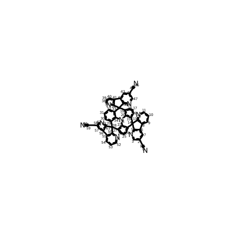 N#Cc1cnc2c(c1)-c1cccnc1C21c2cccc3c2N2c4c1cccc4C1(c4cccc(c42)C32c3ncccc3-c3cc(C#N)cnc32)c2ncccc2-c2cc(C#N)cnc21